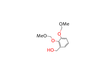 COCOc1cccc(CO)c1OCOC